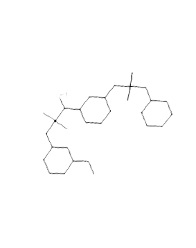 CCC1CCCC(CC(C)(C)C(O)C2CCCC(CC(C)(C)CC3CCCCC3)C2)C1